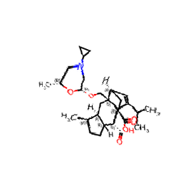 CC(C)C1=C[C@H]2C[C@@]3(C=O)[C@@H]4CC[C@@H](C)[C@H]4C[C@@]2(CO[C@H]2CN(C4CC4)C[C@@H](C)O2)[C@]13C(=O)O